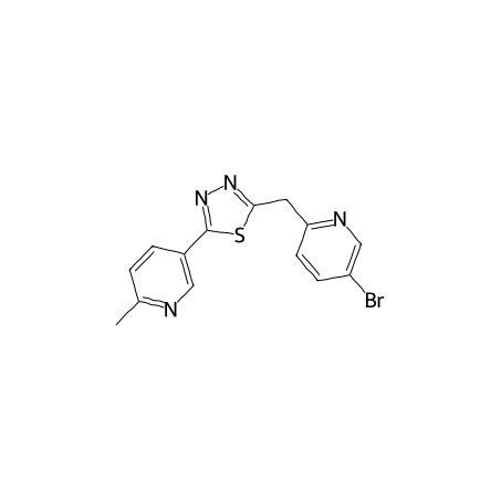 Cc1ccc(-c2nnc(Cc3ccc(Br)cn3)s2)cn1